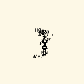 COc1cnn(-c2ccc(-c3cc(=O)n(CC[C@H](C(=O)NO)S(C)(=O)=O)cc3F)cc2)n1